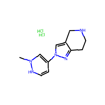 CN1C=C(n2cc3c(n2)CCNC3)C=CN1.Cl.Cl